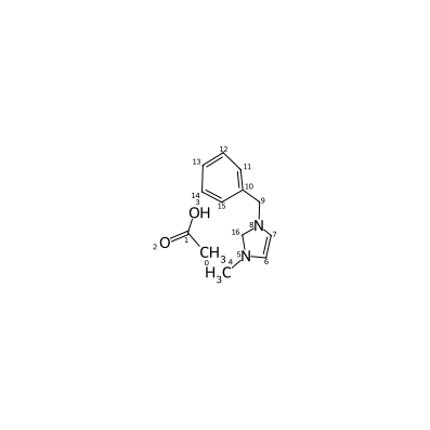 CC(=O)O.CN1C=CN(Cc2ccccc2)C1